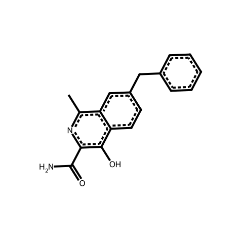 Cc1nc(C(N)=O)c(O)c2ccc(Cc3ccccc3)cc12